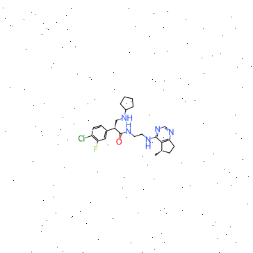 C[C@@H]1CCc2ncnc(NCCNC(=O)[C@H](CNC3CCCC3)c3ccc(Cl)c(F)c3)c21